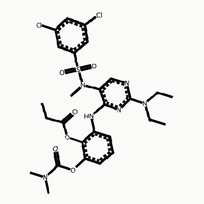 CCC(=O)Oc1c(Nc2nc(N(CC)CC)ncc2N(C)S(=O)(=O)c2cc(Cl)cc(Cl)c2)cccc1OC(=O)N(C)C